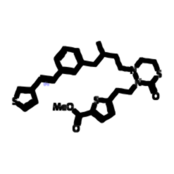 COC(=O)c1ccc(CCN2C(=O)SCCN2CCC(C)Cc2cccc(/C=C/c3ccsc3)c2)s1